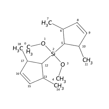 CO[Si](OC)(C1C(C)C=CC1C)C1C(C)C=CC1C